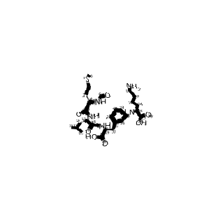 CSCC[C@H](NC=O)C(=O)N[C@@H](CC(C)C)C(=O)N[C@@H](Cc1ccccc1)C(=O)O.NCCCC[C@H](N)C(=O)O